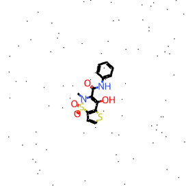 CN1C(C(=O)Nc2ccccc2)=C(O)c2sccc2S1(=O)=O